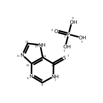 O=P(O)(O)O.S=c1[nH]cnc2nc[nH]c12